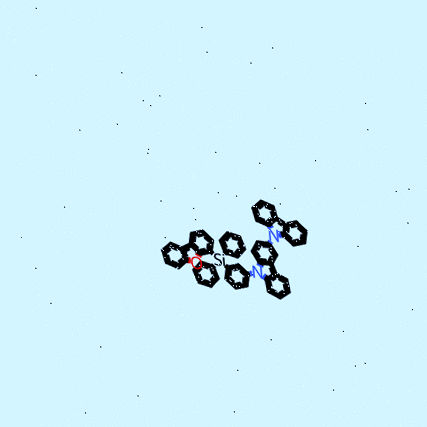 c1ccc([Si](c2ccccc2)(c2cccc(-n3c4ccccc4c4cc(-n5c6ccccc6c6ccccc65)ccc43)c2)c2cccc3c2oc2ccccc23)cc1